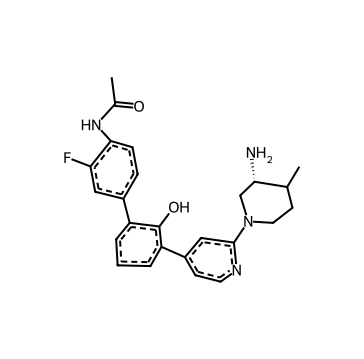 CC(=O)Nc1ccc(-c2cccc(-c3ccnc(N4CCC(C)[C@@H](N)C4)c3)c2O)cc1F